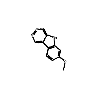 COc1ccc2c(c1)[nH]c1cnncc12